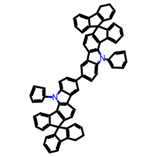 C1=CC2=C(CC1)c1ccccc1C21c2ccccc2-c2c1ccc1c3cc(-c4ccc5c(c4)c4ccc6c(c4n5-c4ccccc4)-c4ccccc4C64C5=C(CCC=C5)c5ccccc54)ccc3n(-c3ccccc3)c21